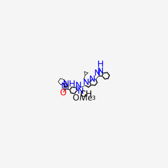 COc1cc(C(=O)N2CC3CCC2[C@@H]3N)cc2nc(-c3cc4ccc(-c5n[nH]c6ccccc56)nc4n3CC3CC3)n(C)c12